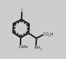 COc1ccc(I)cc1C(N)C(=O)O